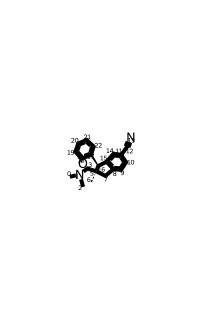 CN(C)C(=O)[C@]1(C)Cc2ccc(C#N)cc2[C@@H]1c1ccccc1